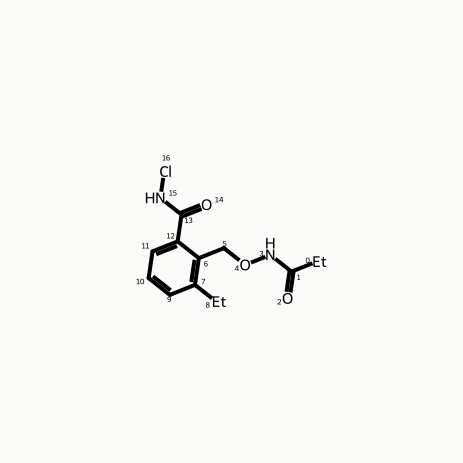 CCC(=O)NOCc1c(CC)cccc1C(=O)NCl